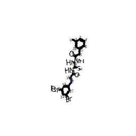 Cc1cccc(CC(=O)NNC(=S)NC(=O)/C=C/c2cc(Br)cc(Br)c2)c1